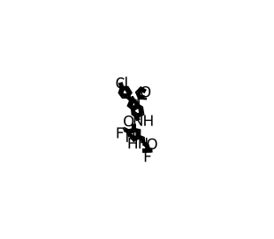 CC(C)(F)C(=O)NCc1cnc(CF)c(C(=O)Nc2ccc3c(c2)cc(-c2ccc(Cl)cc2)n3[C@@H]2CCOC2)c1